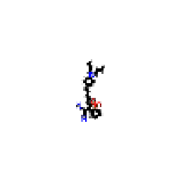 CCCCN(CCCC)c1ccc(C=CC=CC=C2C(=C(C#N)C#N)c3ccccc3S2(=O)=O)cc1